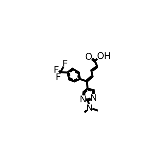 CN(C)c1ncc(C(=CC=CC(=O)O)c2ccc(C(F)(F)F)cc2)cn1